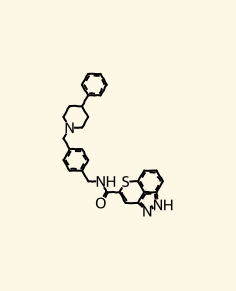 O=C(NCc1ccc(CN2CCC(c3ccccc3)CC2)cc1)C1=Cc2n[nH]c3cccc(c23)S1